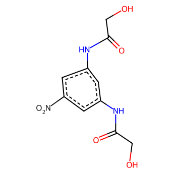 O=C(CO)Nc1cc(NC(=O)CO)cc([N+](=O)[O-])c1